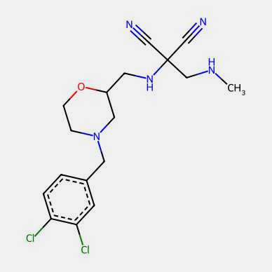 CNCC(C#N)(C#N)NCC1CN(Cc2ccc(Cl)c(Cl)c2)CCO1